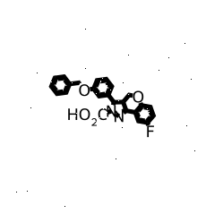 O=C(O)N1N=C2c3cc(F)ccc3OCC2C1c1cccc(OCc2ccccc2)c1